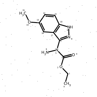 CCOC(=O)N(N)c1n[nH]c2ccc(OC)cc12